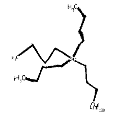 CCC[CH][N+](CCCC)(CCCC)CCCC